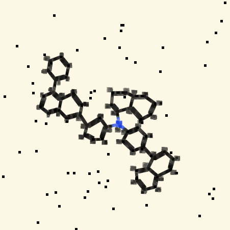 c1ccc(-c2cccc3cc(-c4cccc(N(c5ccc(-c6cccc7ccccc67)cc5)c5cccc6ccccc56)c4)ccc23)cc1